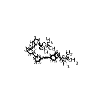 CC(C)(C)OC(=O)N1CCCC1CNc1nccc(-c2nccc(C#Cc3ccc4c(cnn4C(=O)OC(C)(C)C)c3)n2)n1